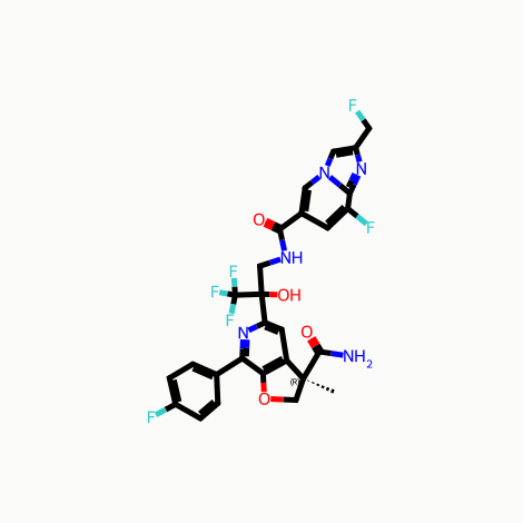 C[C@]1(C(N)=O)COc2c1cc(C(O)(CNC(=O)c1cc(F)c3nc(CF)cn3c1)C(F)(F)F)nc2-c1ccc(F)cc1